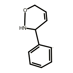 [c]1ccccc1C1C=CCON1